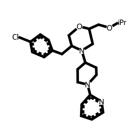 CC(C)OCC1CN(C2CCN(c3ccccn3)CC2)C(Cc2ccc(Cl)cc2)CO1